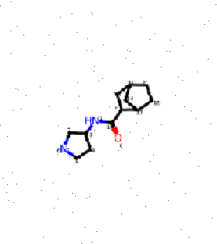 O=C(NC1CC[N]C1)C1CC2CCC1C2